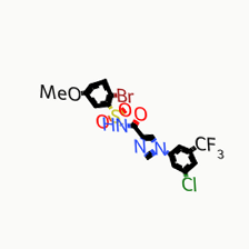 COc1ccc(Br)c(S(=O)(=O)NC(=O)c2cn(-c3cc(Cl)cc(C(F)(F)F)c3)cn2)c1